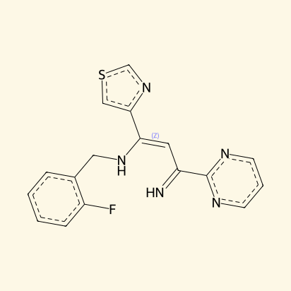 N=C(/C=C(\NCc1ccccc1F)c1cscn1)c1ncccn1